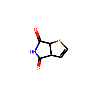 O=C1NC(=O)C2SC=CC12